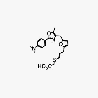 Cc1oc(-c2ccc(N(C)C)cc2)nc1Cc1ccc(CC=CSCC(=O)O)o1